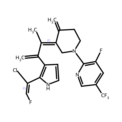 C=C1CCN(c2ncc(C(F)(F)F)cc2F)C/C1=C(/C)C(=C)c1cc[nH]c1/C(Cl)=C\F